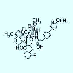 COC(=O)N[C@H](C(=O)N[C@@H](Cc1ccc(-c2ccc(OC)nc2)cc1)[C@@H](O)C[C@@H](Cc1ccccc1F)C(=O)N[C@H]1c2cc(F)cc(C)c2OC[C@H]1O)C(C)(C)C